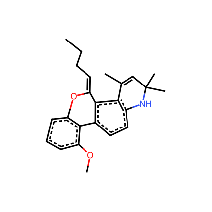 CCCC=C1Oc2cccc(OC)c2-c2ccc3c(c21)C(C)=CC(C)(C)N3